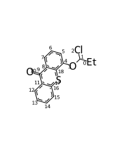 CCC(Cl)Oc1cccc2c(=O)c3ccccc3sc12